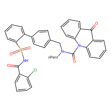 CCCCCN(Cc1ccc(-c2ccccc2S(=O)(=O)NC(=O)c2ccccc2Cl)cc1)C(=O)n1c2ccccc2c(=O)c2ccccc21